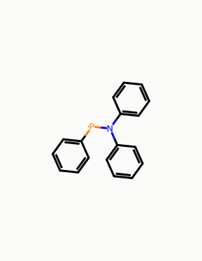 c1ccc([P]N(c2ccccc2)c2ccccc2)cc1